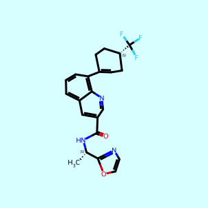 C[C@H](NC(=O)c1cnc2c(C3=CC[C@@H](C(F)(F)F)CC3)cccc2c1)c1ncco1